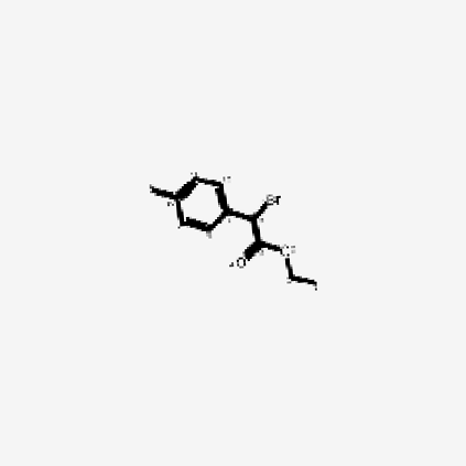 CCOC(=O)C(Br)c1ccc(C)cc1